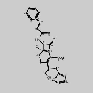 N#CCC(Sc1nnn[nH]1)C1=C(C(=O)O)N2C(=O)C(NC(=O)CSc3ccccc3)[C@@H]2SC1